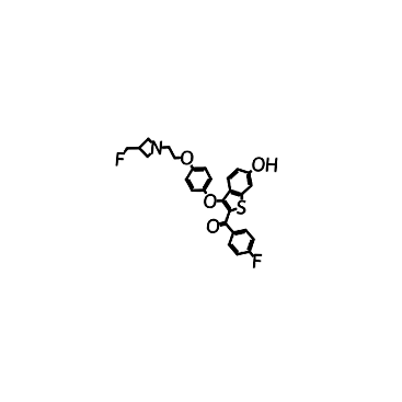 O=C(c1ccc(F)cc1)c1sc2cc(O)ccc2c1Oc1ccc(OCCN2CC(CF)C2)cc1